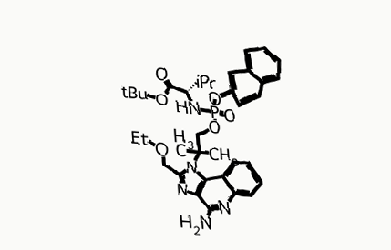 CCOCc1nc2c(N)nc3ccccc3c2n1C(C)(C)COP(=O)(N[C@H](C(=O)OC(C)(C)C)C(C)C)Oc1ccc2ccccc2c1